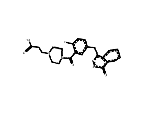 O=C(O)CCN1CCN(C(=O)c2cc(Cc3n[nH]c(=O)c4ccccc34)ccc2F)CC1